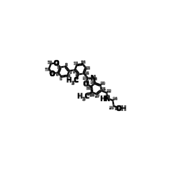 Cc1c(-c2ccc3c(c2)OCCO3)cccc1-c1nc2cc(CNCCO)cc(C)c2o1